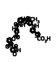 CC1(C)C[C@@H](Nc2cccc(-c3ccc(C(=O)O)s3)c2)CCN1S(=O)(=O)Cc1cccc(NC(=O)C2C3CN(C(=O)COc4cccc5c4CN(C4CCC(=O)NC4=O)C5=O)C[C@H]32)c1